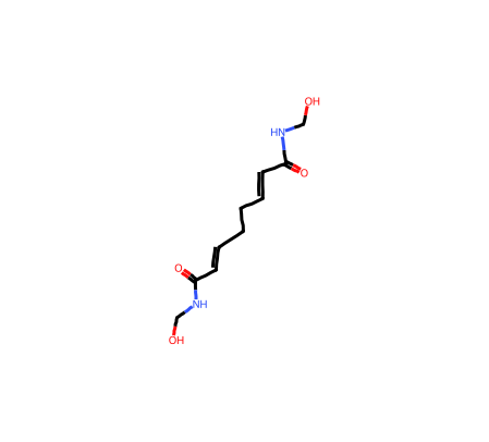 O=C(C=CCCC=CC(=O)NCO)NCO